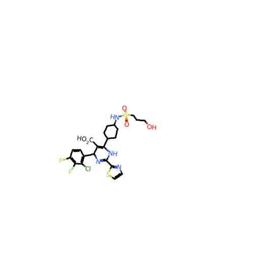 O=C(O)C1=C(C2CCC(NS(=O)(=O)CCCO)CC2)NC(c2nccs2)=NC1c1ccc(F)c(F)c1Cl